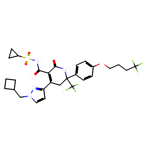 O=C1NC(c2ccc(OCCCC(F)(F)F)cc2)(C(F)(F)F)CC(c2ccn(CC3CCC3)n2)=C1C(=O)NS(=O)(=O)C1CC1